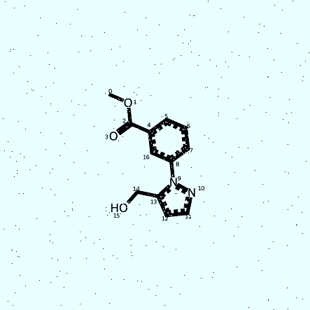 COC(=O)c1cccc(-n2nccc2CO)c1